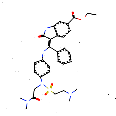 CCOC(=O)c1ccc2c(c1)NC(=O)/C2=C(\Nc1ccc(N(CC(=O)N(C)C)S(=O)(=O)CCN(C)C)cc1)c1ccccc1